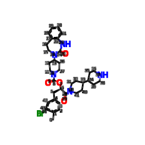 Cc1ccc(C[C@@H](OC(=O)N2CCC(N3CCc4ccccc4NC3=O)CC2)C(=O)N2CCC(C3CCNCC3)CC2)cc1Br